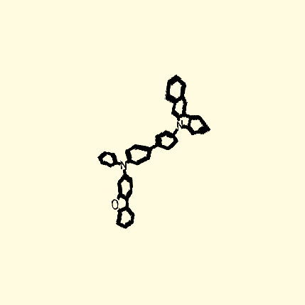 c1ccc(N(c2ccc(-c3ccc(-n4c5ccccc5c5cc6ccccc6cc54)cc3)cc2)c2ccc3c(c2)oc2ccccc23)cc1